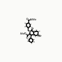 CNC(=O)c1ccc(Cn2c(C(=O)OC)c(-c3ccccc3)c3cc(Br)ccc3c2=O)cc1